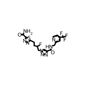 NC(=O)c1nnc(CCC(F)Cn2cc(C(=O)NCc3cc(C(F)(F)F)ccn3)nn2)s1